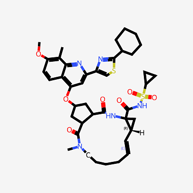 COc1ccc2c(OC3CC4C(=O)NC5(C(=O)NS(=O)(=O)C6CC6)C[C@@H]5/C=C/CCCCN(C)C(=O)C4C3)cc(-c3csc(C4CCCCC4)n3)nc2c1C